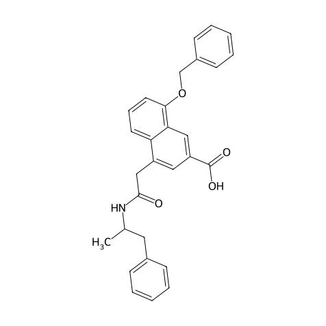 CC(Cc1ccccc1)NC(=O)Cc1cc(C(=O)O)cc2c(OCc3ccccc3)cccc12